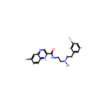 CCN(CCNC(=O)c1cnc2cc(I)ccc2n1)CCc1cccc(F)c1